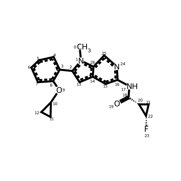 Cn1c(-c2ccccc2OC2CC2)cc2cc(NC(=O)[C@@H]3C[C@@H]3F)ncc21